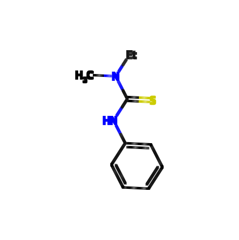 CCN(C)C(=S)Nc1ccccc1